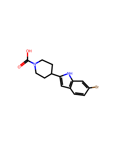 O=C(O)N1CCC(c2cc3ccc(Br)cc3[nH]2)CC1